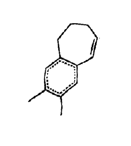 Cc1cc2c(cc1C)CCC[C]=C2